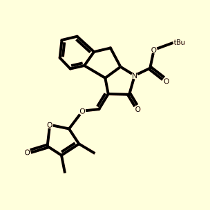 CC1=C(C)C(O/C=C2/C(=O)N(C(=O)OC(C)(C)C)C3Cc4ccccc4C23)OC1=O